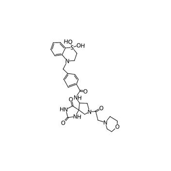 O=C1NC(=O)C2(CN(C(=O)CN3CCOCC3)CC2NC(=O)c2ccc(CN3CCS(O)(O)c4ccccc43)cc2)N1